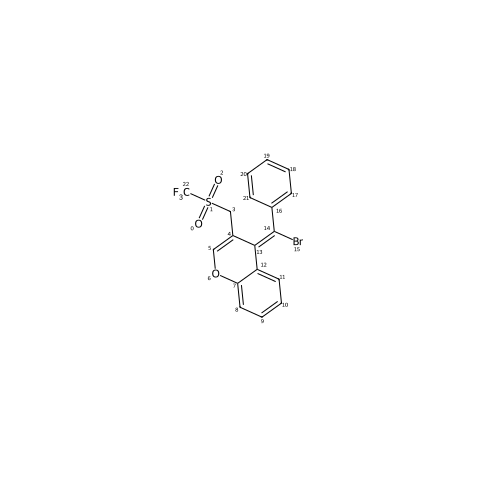 O=S(=O)(CC1=COc2ccccc2/C1=C(\Br)c1ccccc1)C(F)(F)F